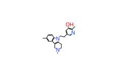 Cc1ccc2c(c1)c1c(n2CCc2cnc(C)c(O)c2)CCN(C)C1